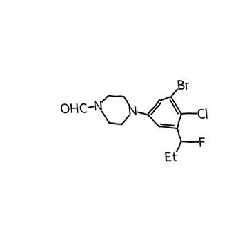 CCC(F)c1cc(N2CCN(C=O)CC2)cc(Br)c1Cl